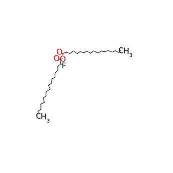 CCCCCCCCCCCCCCCCCC(=O)OC(=O)C(F)CCCCCCCCCCCCCCCC